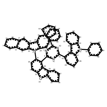 c1ccc(-c2nc(-c3c(-n4c5cc6ccccc6cc5c5cc6ccccc6cc54)ccc4oc5ccccc5c34)nc(-c3cccc4c3c3ccccc3n4-c3ccccc3)n2)cc1